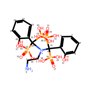 NCCN(C(c1ccccc1O)(P(=O)(O)O)P(=O)(O)O)C(c1ccccc1O)(P(=O)(O)O)P(=O)(O)O